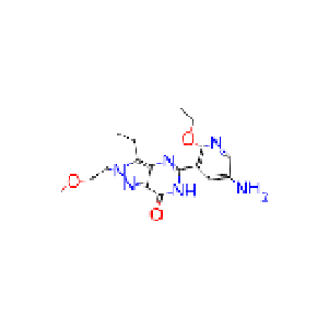 CCOc1ncc(N)cc1-c1nc2c(CC)n(CCOC)nc2c(=O)[nH]1